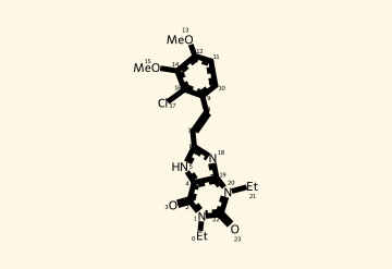 CCn1c(=O)c2[nH]c(C=Cc3ccc(OC)c(OC)c3Cl)nc2n(CC)c1=O